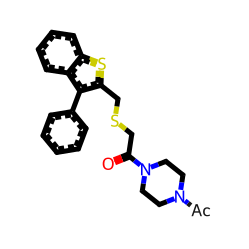 CC(=O)N1CCN(C(=O)CSCc2sc3ccccc3c2-c2ccccc2)CC1